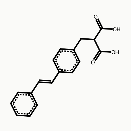 O=C(O)C(Cc1ccc(C=Cc2ccccc2)cc1)C(=O)O